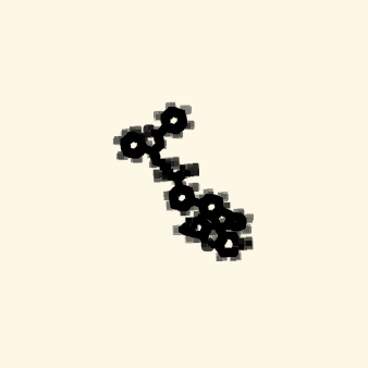 C/C(=C\C(=C/NNC(=N)c1cccc(-c2ccc3c(c2)C2(C4=C(C=CNC4)OC4=C2CN2CC42)c2ccccc2-3)c1)c1ccccc1)c1ccccc1